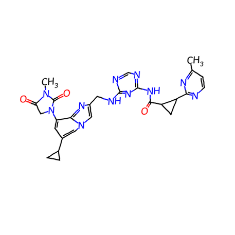 Cc1ccnc(C2CC2C(=O)Nc2ncnc(NCc3cn4cc(C5CC5)cc(N5CC(=O)N(C)C5=O)c4n3)n2)n1